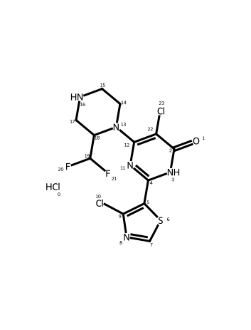 Cl.O=c1[nH]c(-c2scnc2Cl)nc(N2CCNCC2C(F)F)c1Cl